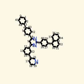 c1ccc(-c2ccc(-c3cc(-c4cccc(-c5cccnc5)c4)nc(-c4ccc(-c5cccc6ccccc56)cc4)n3)cc2)cc1